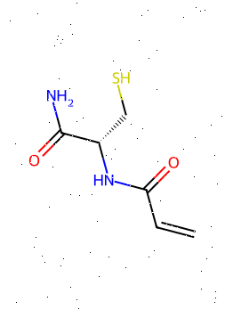 C=CC(=O)N[C@@H](CS)C(N)=O